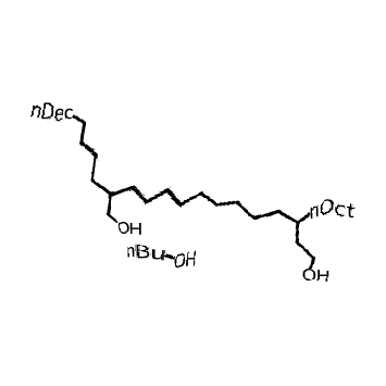 CCCCCCCCCCCCCCC(CO)CCCCCCCCCC(CCO)CCCCCCCC.CCCCO